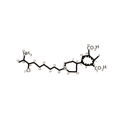 Cc1c(C(=O)O)cc(C2CCN(CCCCCCC(Cl)C(C)N)CC2)cc1C(=O)O